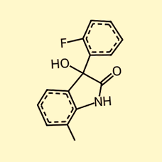 Cc1cccc2c1NC(=O)C2(O)c1ccccc1F